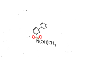 CN(O)S(=O)(=O)c1cccc(-c2ccccc2)c1